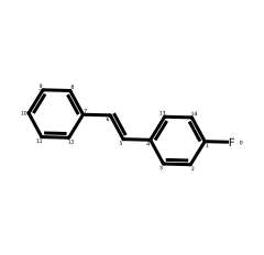 Fc1ccc(C=Cc2c[c]ccc2)cc1